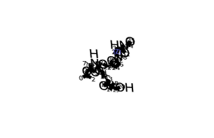 CC(C)OC(=O)[C@H](C)NP(OCCSC(=O)C(C)(C)CO)OC[C@@H]1CC[C@H](N(C)/C=C\C(=O)NC=O)O1